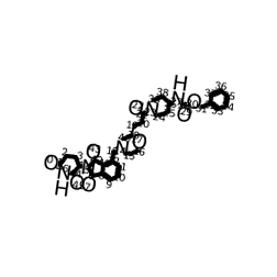 O=C1CCC(N2C(=O)c3cccc(CN4CCO[C@H](CCC(=O)N5CCC(NC(=O)OCc6ccccc6)CC5)C4)c3C2=O)C(=O)N1